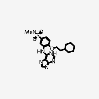 CNS(=O)(=O)c1ccc(OCCC2CCCCC2)c(Nc2[nH]cnc3ncnc2-3)c1